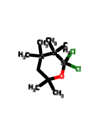 CC1(C)C[Si](C)(C)[Si](C)(C)[Si](Cl)(Cl)O1